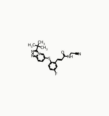 CC(C)(C)c1nnc2ccc(Sc3ccc(F)cc3/C=C/C(=O)NCC#N)cn12